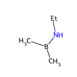 CCNB(C)C